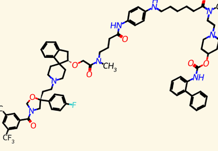 CN(CCN1CCC(OC(=O)Nc2ccccc2-c2ccccc2)CC1)C(=O)CCCCCNc1ccc(NC(=O)CCCN(C)C(=O)CO[C@H]2Cc3ccccc3C23CCN(CC[C@@]2(c4ccc(F)cc4)CN(C(=O)c4cc(C(F)(F)F)cc(C(F)(F)F)c4)CO2)CC3)cc1